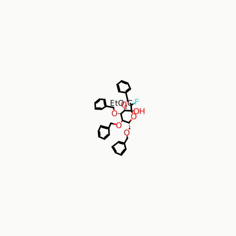 CCOC(=O)C(F)[C@]1(O)O[C@H](COCc2ccccc2)[C@@H](OCc2ccccc2)[C@H](OCc2ccccc2)[C@@H]1OCc1ccccc1